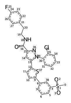 CS(=O)(=O)c1cccc(-c2ccc(-c3cc(C(=O)NCCc4ccc(F)cc4)nn3-c3ccccc3Cl)s2)c1